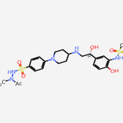 CCOC(=O)N(NS(=O)(=O)c1ccc(N2CCC(NC[C@H](O)c3ccc(O)c(NS(C)(=O)=O)c3)CC2)cc1)C(C)=O